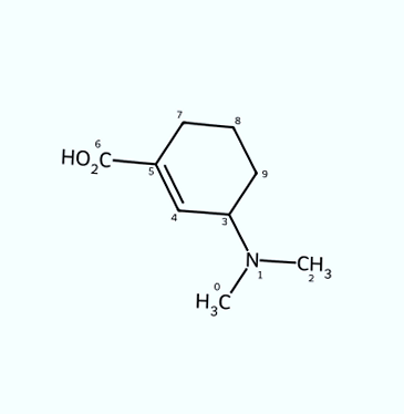 CN(C)C1C=C(C(=O)O)CCC1